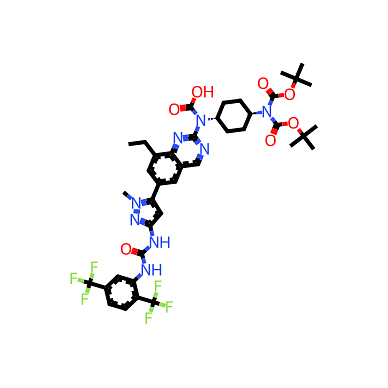 CCc1cc(-c2cc(NC(=O)Nc3cc(C(F)(F)F)ccc3C(F)(F)F)nn2C)cc2cnc(N(C(=O)O)[C@H]3CC[C@H](N(C(=O)OC(C)(C)C)C(=O)OC(C)(C)C)CC3)nc12